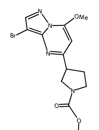 COc1cc(C2CCN(C(=O)OC(C)(C)C)C2)nc2c(Br)cnn12